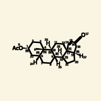 CC(=O)O[C@@H]1CC[C@@]2(C)[C@H](CC[C@@H]3[C@@H]2CC[C@@]24C=CC(=O)C[C@H]2CC[C@@H]34)C1